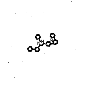 c1ccc(-c2cccc(-c3cc(-c4ccc5c6cccc7c8ccccc8n(c5c4)c76)nc(-c4ccccc4)n3)c2)cc1